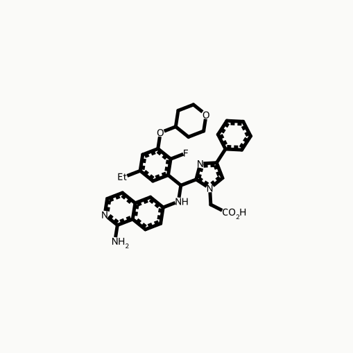 CCc1cc(OC2CCOCC2)c(F)c(C(Nc2ccc3c(N)nccc3c2)c2nc(-c3ccccc3)cn2CC(=O)O)c1